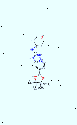 CC1(C)OB(c2ccn3nc(NC4CCOCC4)nc3c2)OC1(C)C